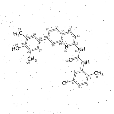 Cc1ccc(Cl)cc1NC(=O)Nc1cnc2ccc(-c3cc(C)c(O)c(C)c3)cc2n1